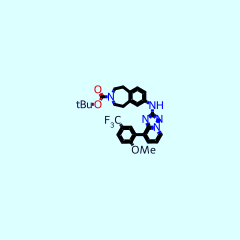 COc1ccc(C(F)(F)F)cc1-c1cccn2nc(Nc3ccc4c(c3)CCN(C(=O)OC(C)(C)C)CC4)nc12